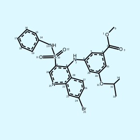 COC(=O)c1cc(Nc2c(S(=O)(=O)Nc3ccccc3)cnc3cc(Br)ccc23)cc(OC(C)C)c1